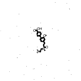 COc1cc(CCC(=O)N(C)CCN(C)C)ccc1-c1ccc(C(=O)O)cc1